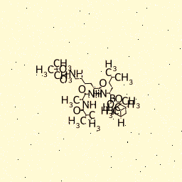 CC(C)CC[C@H](NC(=O)[C@H](CCCCNC(=O)OC(C)(C)C)NC(=O)[C@H](C)NC(=O)C(C)C)B1O[C@@H]2C[C@@H]3C[C@@H](C3(C)C)[C@]2(C)O1